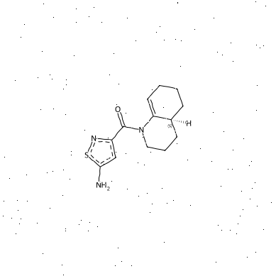 Nc1cc(C(=O)N2CCC[C@@H]3CCCC=C32)ns1